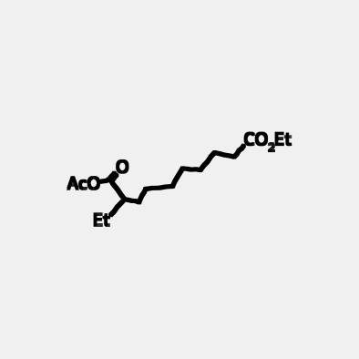 CCOC(=O)CCCCCCCC(CC)C(=O)OC(C)=O